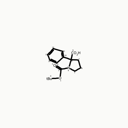 CC(C)(C)OC(=O)N1CCCC1(C(=O)O)c1ccccc1